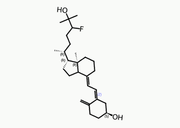 C=C1CC[C@H](O)C/C1=C/C=C1CCC[C@@]2(C)C1CC[C@@H]2[C@H](C)CCC(F)C(C)(C)O